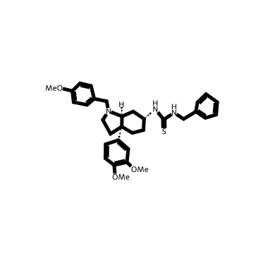 COc1ccc(CN2CC[C@]3(c4ccc(OC)c(OC)c4)CC[C@@H](NC(=S)NCc4ccccc4)C[C@H]23)cc1